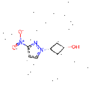 O=[N+]([O-])c1ccn([C@H]2C[C@@H](O)C2)n1